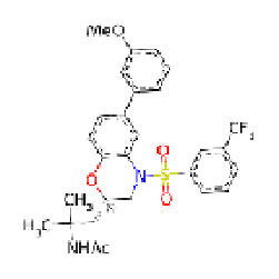 COc1cccc(-c2ccc3c(c2)N(S(=O)(=O)c2cccc(C(F)(F)F)c2)C[C@H](CC(C)(C)NC(C)=O)O3)c1